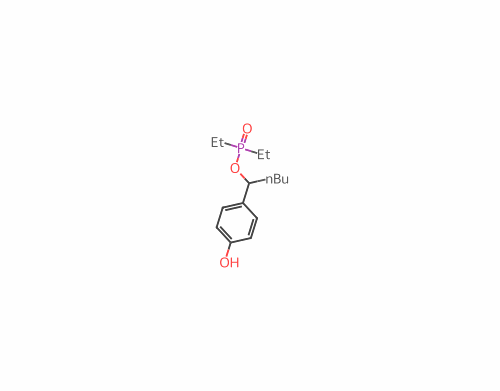 CCCCC(OP(=O)(CC)CC)c1ccc(O)cc1